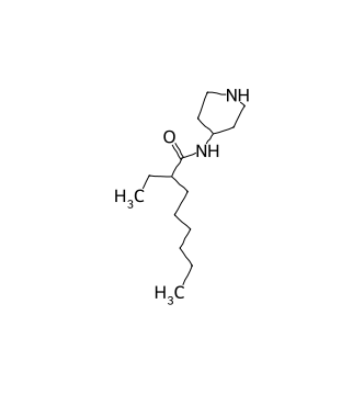 CCCCCCC(CC)C(=O)NC1CCNCC1